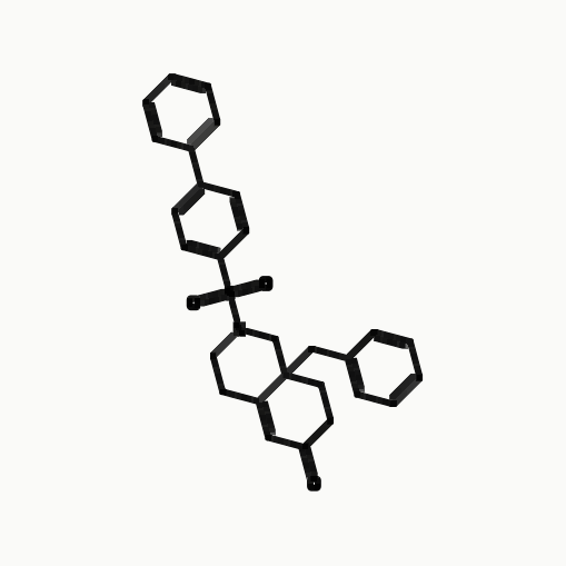 O=C1C=C2CCN(S(=O)(=O)c3ccc(-c4ccccc4)cc3)CC2(Cc2ccccc2)CC1